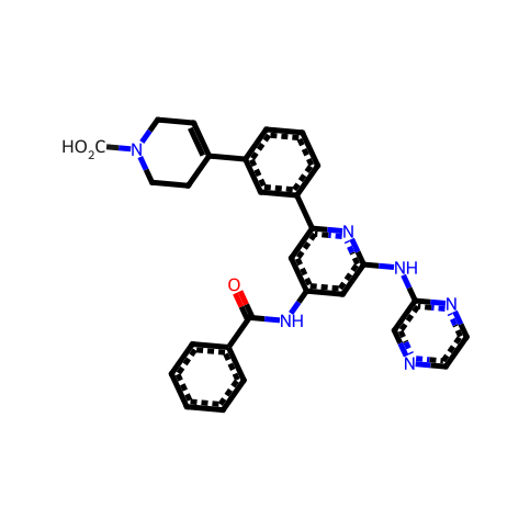 O=C(Nc1cc(Nc2cnccn2)nc(-c2cccc(C3=CCN(C(=O)O)CC3)c2)c1)c1ccccc1